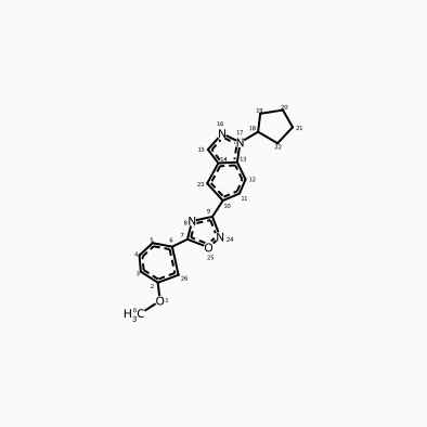 COc1cccc(-c2nc(-c3ccc4c(cnn4C4CCCC4)c3)no2)c1